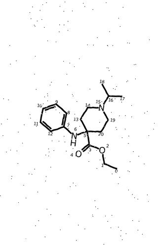 CCOC(=O)C1(Nc2ccccc2)CCN(C(C)C)CC1